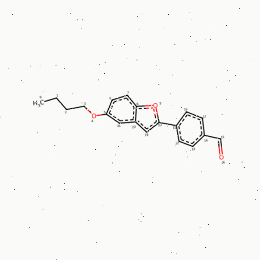 CCCCOc1ccc2oc(-c3ccc(C=O)cc3)cc2c1